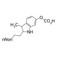 CCCCCCCCCCCC1Nc2cc(OC(=O)O)ccc2C1C